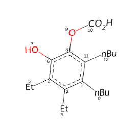 CCCCc1c(CC)c(CC)c(O)c(OC(=O)O)c1CCCC